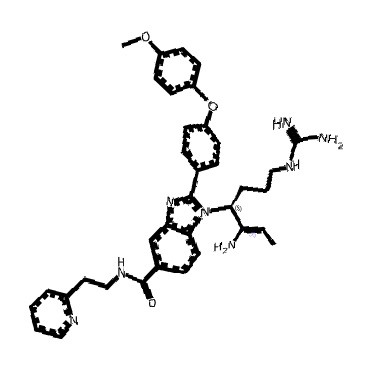 C/C=C(\N)[C@H](CCCNC(=N)N)n1c(-c2ccc(Oc3ccc(OC)cc3)cc2)nc2cc(C(=O)NCCc3ccccn3)ccc21